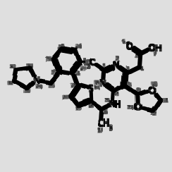 Cc1nc(CC(=O)O)c(C2OCCO2)c(NC(C)c2ccc(-c3ccccc3CN3CCCC3)s2)n1